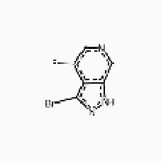 Fc1cncc2[nH]nc(Br)c12